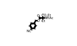 CCOC(=O)C(CC)(NC(C)=O)C(=O)OCc1ccc(C#N)cc1